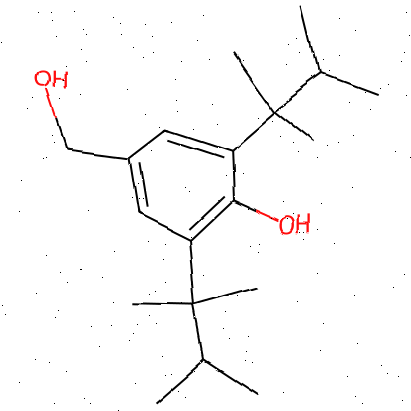 CC(C)C(C)(C)c1cc(CO)cc(C(C)(C)C(C)C)c1O